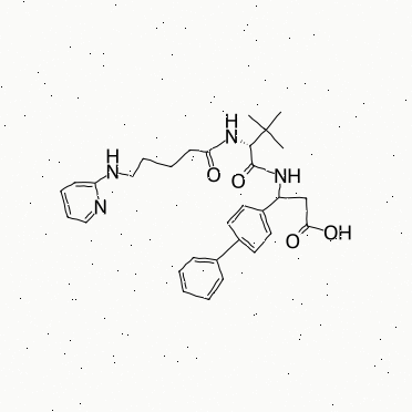 CC(C)(C)[C@@H](NC(=O)CCCCNc1ccccn1)C(=O)NC(CC(=O)O)c1ccc(-c2ccccc2)cc1